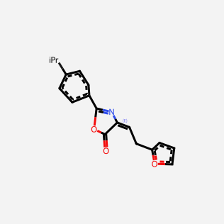 CC(C)c1ccc(C2=N/C(=C/Cc3ccco3)C(=O)O2)cc1